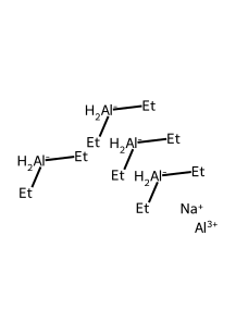 C[CH2][AlH2-][CH2]C.C[CH2][AlH2-][CH2]C.C[CH2][AlH2-][CH2]C.C[CH2][AlH2-][CH2]C.[Al+3].[Na+]